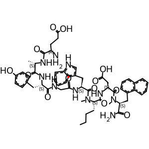 CCCC[C@@H](C(=O)N[C@@H](CC(=O)O)C(=O)N(C)[C@@H](Cc1cccc2ccccc12)C(N)=O)N(C)C(=O)[C@H](Cc1c[nH]c2ccccc12)NC(=O)CNC(=O)[C@H](Cc1ccc(O)cc1)NC(=O)[C@H](C)NC(=O)[C@H](N)CCC(=O)O